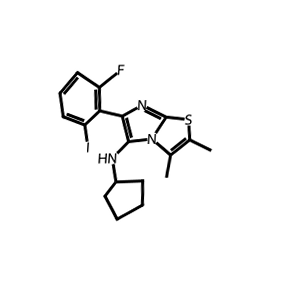 Cc1sc2nc(-c3c(F)cccc3I)c(NC3CCCC3)n2c1C